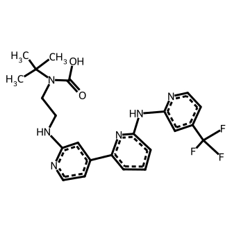 CC(C)(C)N(CCNc1cc(-c2cccc(Nc3cc(C(F)(F)F)ccn3)n2)ccn1)C(=O)O